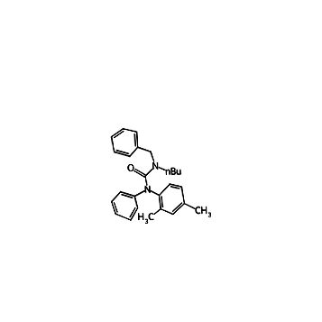 CCCCN(Cc1ccccc1)C(=O)N(c1ccccc1)c1ccc(C)cc1C